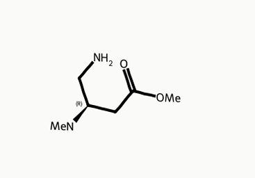 CN[C@@H](CN)CC(=O)OC